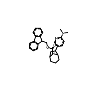 CN(C)c1ccc(C2CC3CCCC2N3C(=O)OCC2c3ccccc3-c3ccccc32)cn1